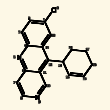 Clc1ccc2nc3ccncc3c(C3C=CCCC3)c2c1